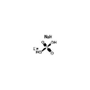 O=S(=O)(O)O.[Ce].[NaH]